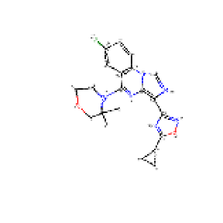 CC1(C)COCCN1c1nc2c(-c3noc(C4CC4)n3)ncn2c2ccc(F)cc12